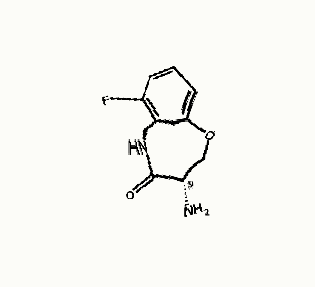 N[C@H]1COc2cccc(F)c2NC1=O